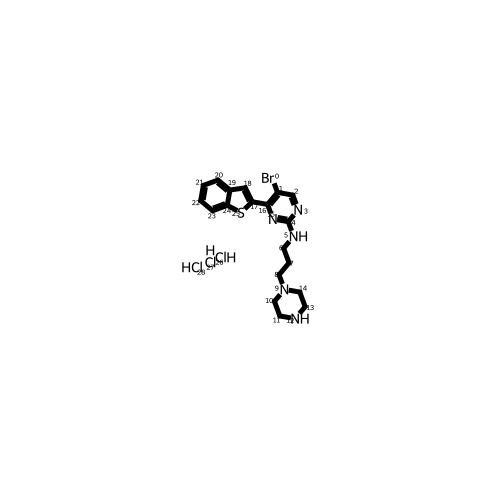 Brc1cnc(NCCCN2CCNCC2)nc1-c1cc2ccccc2s1.Cl.Cl.Cl